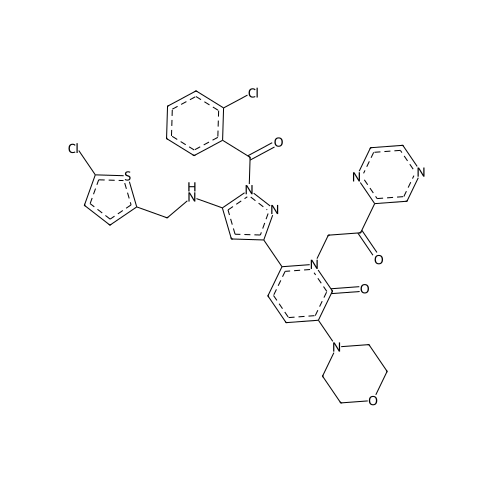 O=C(Cn1c(-c2cc(NCc3ccc(Cl)s3)n(C(=O)c3ccccc3Cl)n2)ccc(N2CCOCC2)c1=O)c1cnccn1